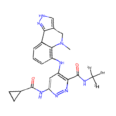 [2H]C([2H])([2H])NC(=O)c1nnc(NC(=O)C2CC2)cc1Nc1cccc2c1N(C)Cc1c[nH]nc1-2